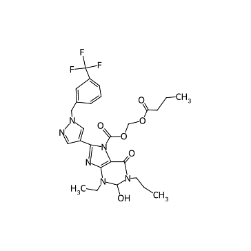 CCCC(=O)OCOC(=O)n1c(-c2cnn(Cc3cccc(C(F)(F)F)c3)c2)nc2c1C(=O)N(CCC)C(O)N2CC